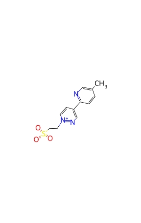 Cc1ccc(-c2cc[n+](CCS(=O)(=O)[O-])nc2)nc1